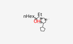 CCCCCC[C@H](O)C(CC)[C@@H]1C[C@H](C)CC(C2CCCC2)[C@@H]1C